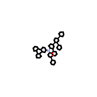 c1ccc(-c2ccc(N(c3ccc4c5ccccc5c5ccccc5c4c3)c3ccc(-c4ccc(-c5ccccc5)cc4-c4ccccc4)cc3-c3ccccc3)cc2)cc1